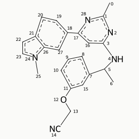 Cc1nc(NC(C)c2cccc(OCC#N)c2)cc(-c2ccc3ccn(C)c3c2)n1